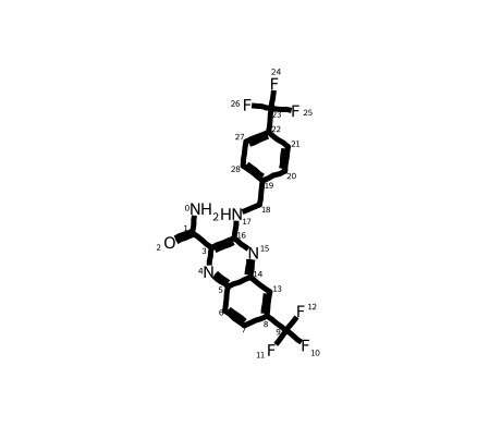 NC(=O)c1nc2ccc(C(F)(F)F)cc2nc1NCc1ccc(C(F)(F)F)cc1